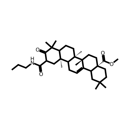 CCCNC(=O)C1C[C@@]2(C)C(CC[C@]3(C)C2CC=C2C4CC(C)(C)CC[C@]4(C(=O)OC)CC[C@]23C)C(C)(C)C1=O